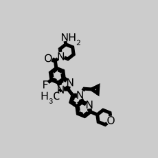 Cn1c(-c2cc3ccc(C4CCOCC4)nc3n2CC2CC2)nc2cc(C(=O)N3CCCC(N)C3)cc(F)c21